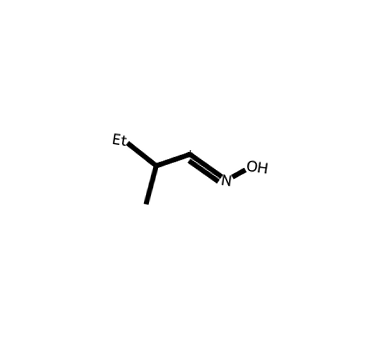 CCC(C)[C]=NO